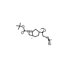 CC[C@]1(C(=O)CN=[N+]=[N-])CC[C@@](C)(CNC(=O)OC(C)(C)C)CC1